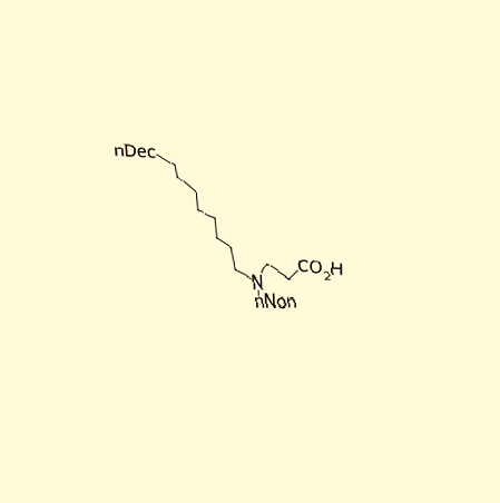 CCCCCCCCCCCCCCCCCCN(CCCCCCCCC)CCC(=O)O